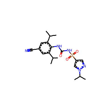 CC(C)c1cc(C#N)cc(C(C)C)c1NC(=O)NS(=O)(=O)c1cnn(C(C)C)c1